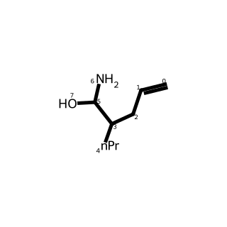 C=CCC(CCC)C(N)O